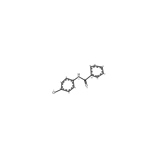 O=C(Nc1ccc(Cl)cc1)c1[c]cccc1